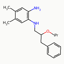 Cc1cc(N)c(NCC(Cc2ccccc2)OC(C)C)cc1C